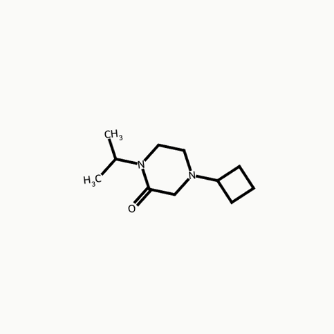 CC(C)N1CCN(C2CCC2)CC1=O